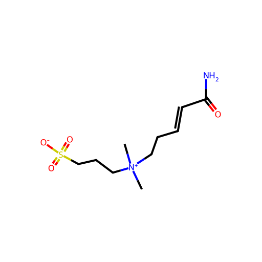 C[N+](C)(CCC=CC(N)=O)CCCS(=O)(=O)[O-]